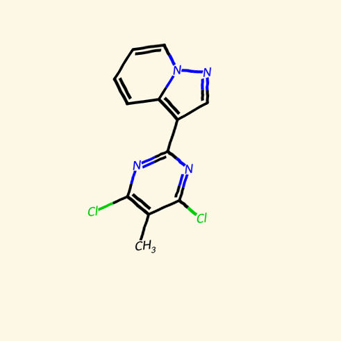 Cc1c(Cl)nc(-c2cnn3ccccc23)nc1Cl